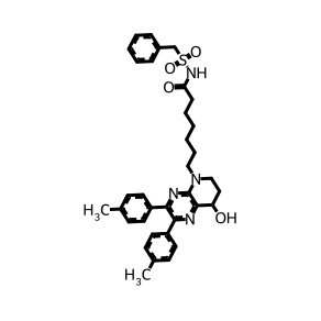 Cc1ccc(-c2nc3c(nc2-c2ccc(C)cc2)N(CCCCCCC(=O)NS(=O)(=O)Cc2ccccc2)CCC3O)cc1